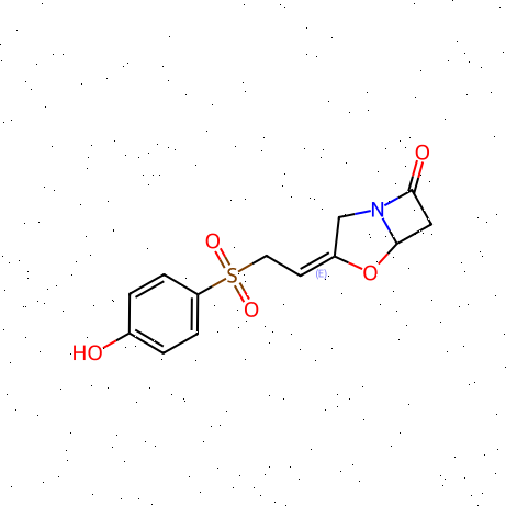 O=C1CC2O/C(=C/CS(=O)(=O)c3ccc(O)cc3)CN12